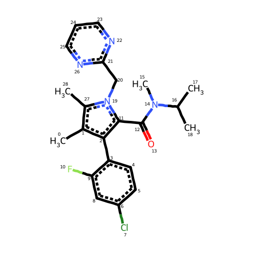 Cc1c(-c2ccc(Cl)cc2F)c(C(=O)N(C)C(C)C)n(Cc2ncccn2)c1C